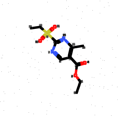 CCOC(=O)c1cnc(S(=O)(=O)CC)nc1C